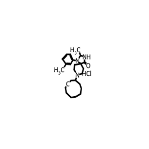 Cc1cccc(N2C(C)NC(=O)C23CCN(C2CCCCCCCCC2)CC3)c1.Cl